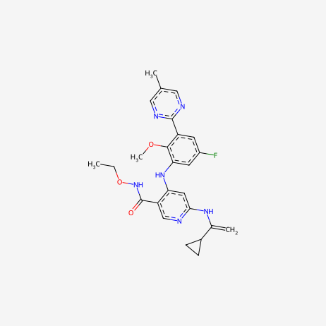 C=C(Nc1cc(Nc2cc(F)cc(-c3ncc(C)cn3)c2OC)c(C(=O)NOCC)cn1)C1CC1